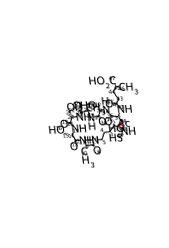 CC(=O)[C@H](CCCCNC(=O)[C@H](C)NC(=O)[C@H](CO)NC(=O)[C@H](CO)NC(=O)[C@H](C)NC(=O)[C@H](CO)NC(=O)[C@H](CO)NC(=O)CC[C@H](C)C(=O)O)NS